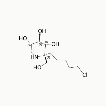 OC[C@@]1(CCCCCCl)NC[C@H](O)[C@@H](O)[C@@H]1O